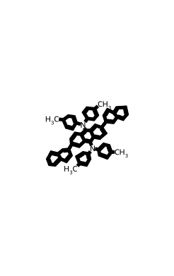 CC1=CCC(N(C2=CCC(C)C=C2)c2c3ccc(-c4ccc5ccccc5c4)cc3c(N(c3ccc(C)cc3)c3ccc(C)cc3)c3ccc(-c4ccc5ccccc5c4)cc23)C=C1